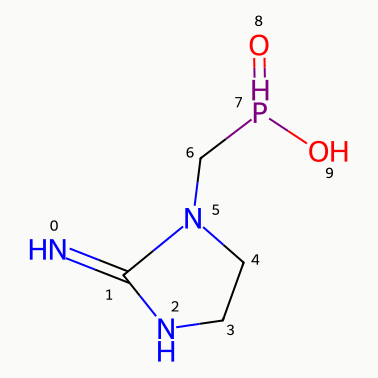 N=C1NCCN1C[PH](=O)O